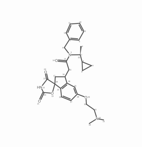 C[C@@H](C1CC1)N(Cc1ccccc1)C(=O)CC1CC2(OC(=O)NC2=O)c2ccc(OCCN(C)C)cc21